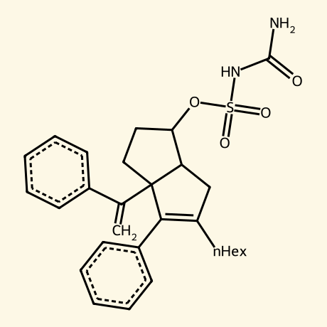 C=C(c1ccccc1)C12CCC(OS(=O)(=O)NC(N)=O)C1CC(CCCCCC)=C2c1ccccc1